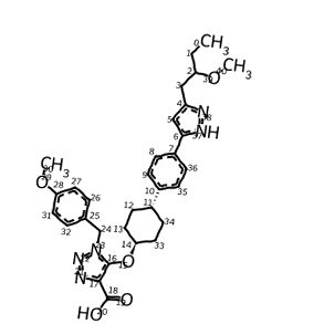 CCC(Cc1cc(-c2ccc([C@H]3CC[C@H](Oc4c(C(=O)O)nnn4Cc4ccc(OC)cc4)CC3)cc2)[nH]n1)OC